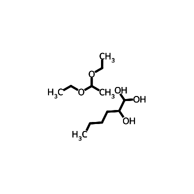 CCCCC(O)C(O)O.CCOC(C)OCC